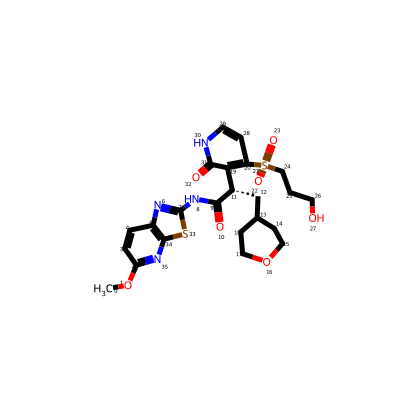 COc1ccc2nc(NC(=O)[C@@H](CC3CCOCC3)c3c(S(=O)(=O)CCCO)cc[nH]c3=O)sc2n1